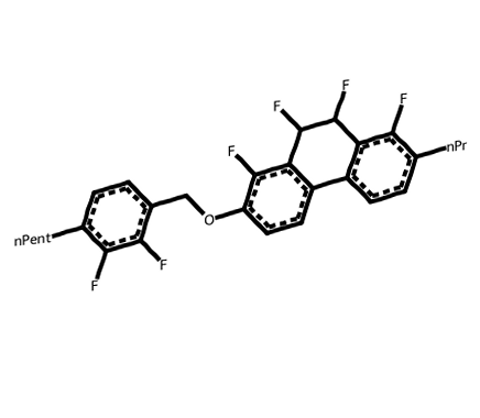 CCCCCc1ccc(COc2ccc3c(c2F)C(F)C(F)c2c-3ccc(CCC)c2F)c(F)c1F